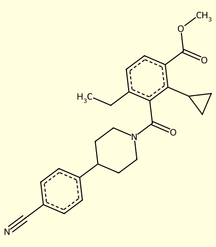 CCc1ccc(C(=O)OC)c(C2CC2)c1C(=O)N1CCC(c2ccc(C#N)cc2)CC1